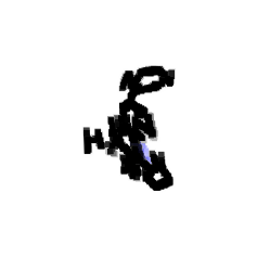 N=C(N)/C(=C1/N=CC(c2cnccn2)=CN1)c1ccccn1